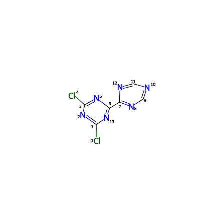 Clc1nc(Cl)nc(-c2ncncn2)n1